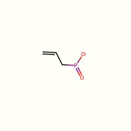 C=CC[P]([O])=O